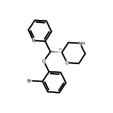 Brc1ccccc1OC(c1ccccn1)[C@@H]1CNCCO1